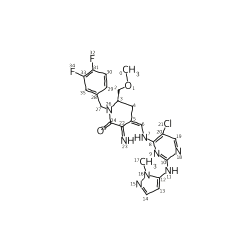 COC[C@H]1C/C(=C/Nc2nc(Nc3ccnn3C)ncc2Cl)C(=N)C(=O)N1Cc1ccc(F)c(F)c1